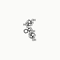 O=C(O[C@@]1(O)CO[C@@H]2[C@H](O)CO[C@@H]21)C1(C(=O)O[C@@]2(O)CO[C@@H]3[C@H](O)CO[C@@H]32)CCCCC1